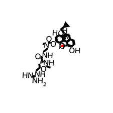 CC(=O)N[C@H](CCCNC(=N)N)C(=O)NCCN(C)C(=O)OC1=CC[C@@]2(O)[C@H]3Cc4ccc(O)c5c4[C@@]2(CCN3CC2CC2)[C@H]1O5